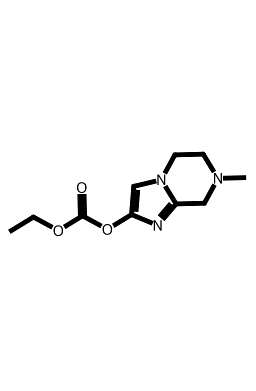 CCOC(=O)Oc1cn2c(n1)CN(C)CC2